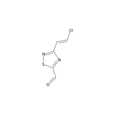 O=Cc1nc(/C=C/Cl)ns1